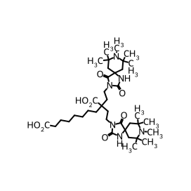 CN1C(C)(C)CC2(CC1(C)C)NC(=O)N(CCC(CCCCCCCC(=O)O)(CCN1C(=O)NC3(CC(C)(C)N(C)C(C)(C)C3)C1=O)C(=O)O)C2=O